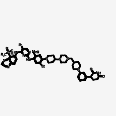 CCc1cc(Nc2ncc(Br)c(Nc3ccc4nccnc4c3P(C)(C)=O)n2)c(OC)cc1N1CCC(N2CCN(CC3CCN(c4cccc(C5CCC(=O)NC5=O)c4)CC3)CC2)CC1